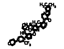 C=CC(=O)Nc1cc(Oc2nc(-c3ccnc(N4CCn5c(cc6c5CC(C)(C)C6)C4=O)c3C)cn(C)c2=O)ccc1N1CCN(C2CCOCC2)C[C@H]1C(F)(F)F